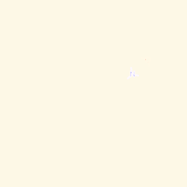 CC(CC(C)c1ccc(N2CCOCC2)cc1)c1ccc(C2CCCCC2)cc1